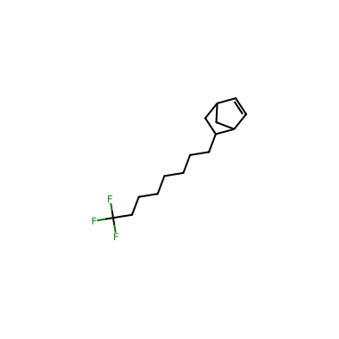 FC(F)(F)CCCCCCCC1CC2C=CC1C2